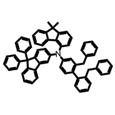 CC1(C)c2ccccc2-c2c(N(c3ccc(-c4ccccc4Cc4ccccc4)c(Cc4ccccc4)c3)c3ccc4c(c3)-c3ccccc3C4(c3ccccc3)c3ccccc3)cccc21